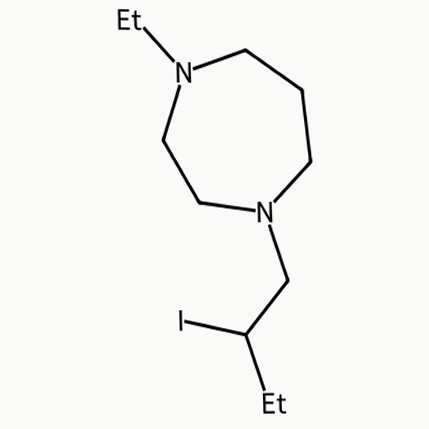 CCC(I)CN1CCCN(CC)CC1